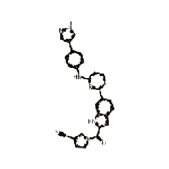 N#Cc1ccn(C(=O)c2cc3ccc(-c4nccc(Nc5ccc(-c6cn[nH]c6)cc5)n4)cc3[nH]2)c1